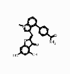 Cn1cc(C=C2Oc3cc(O)cc(O)c3C2=O)c2c(-c3ccc(C(N)=O)cc3)cccc21